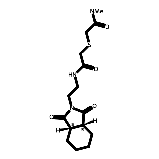 CNC(=O)CSCC(=O)NCCN1C(=O)[C@H]2CCCC[C@H]2C1=O